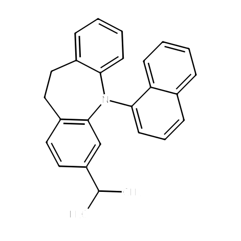 CC(C)c1ccc2c(c1)N(c1cccc3ccccc13)c1ccccc1CC2